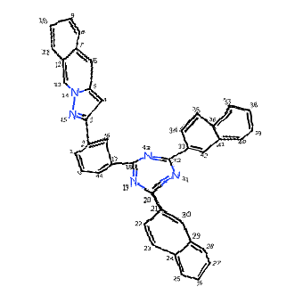 c1cc(-c2cc3cc4ccccc4cn3n2)cc(-c2nc(-c3ccc4ccccc4c3)nc(-c3ccc4ccccc4c3)n2)c1